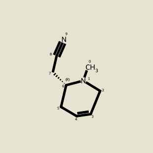 CN1CC=CC[C@@H]1CC#N